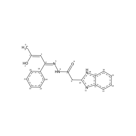 CC(O)=CC(=NNC(=O)Cc1nc2ccccc2[nH]1)c1ccccc1